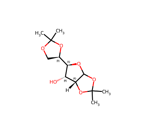 CC1(C)OC[C@H]([C@H]2OC3OC(C)(C)O[C@@H]3[C@@H]2O)O1